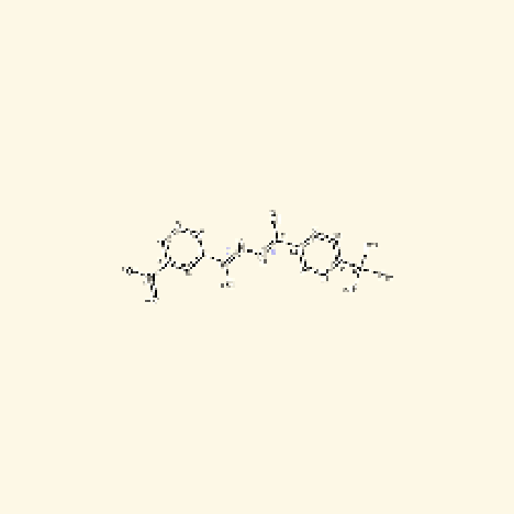 O=[N+]([O-])c1cccc(/C(Cl)=N/N=C(\Cl)c2ccc(C(F)(F)F)cc2)c1